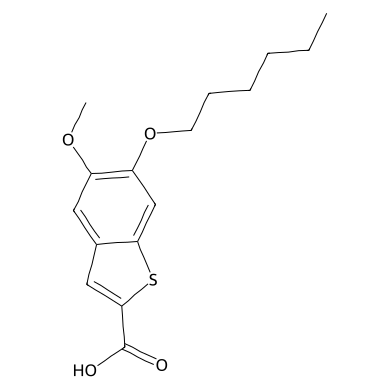 CCCCCCOc1cc2sc(C(=O)O)cc2cc1OC